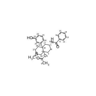 CC(=O)OC12CC[C@@H](NC(=O)c3ccccc3)CC1(c1cccc(O)c1)CCN(C)C2